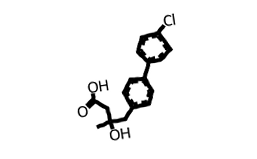 CC(O)(CC(=O)O)Cc1ccc(-c2ccc(Cl)cc2)cc1